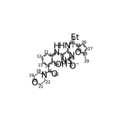 CC[C@@H](Nc1n[s+]([O-])nc1Nc1cccc(C(=O)N2CCOCC2)c1O)c1ccc(C)o1